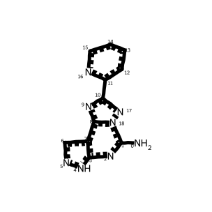 Nc1nc2[nH]ncc2c2nc(-c3ccccn3)nn12